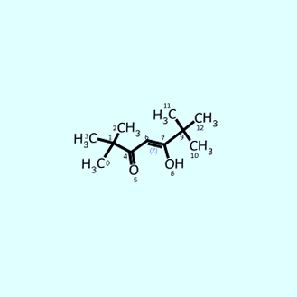 CC(C)(C)C(=O)/C=C(\O)C(C)(C)C